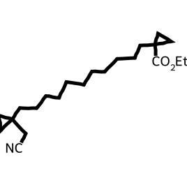 CCOC(=O)C1(CCCCCCCCCCCC2(CC#N)CC2)CC1